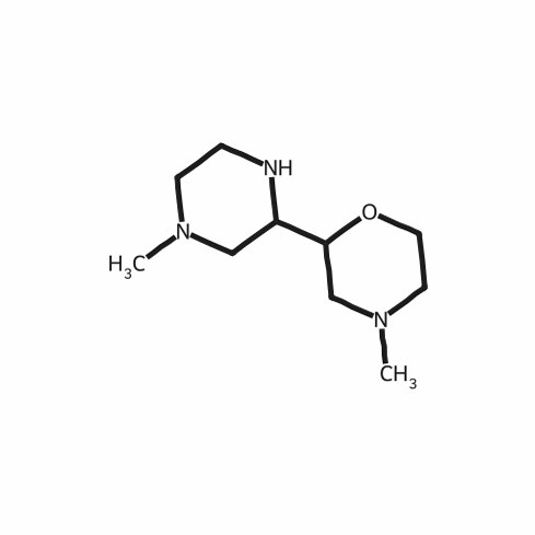 CN1CCNC(C2CN(C)CCO2)C1